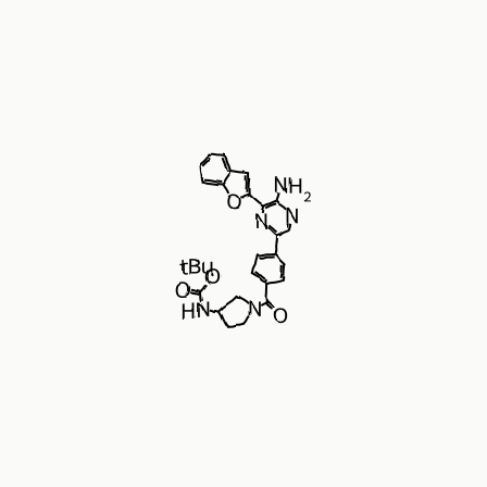 CC(C)(C)OC(=O)NC1CCN(C(=O)c2ccc(-c3cnc(N)c(-c4cc5ccccc5o4)n3)cc2)C1